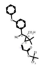 CC[C@](C)(OC(=O)/C=C\[C@H]1C(C)(C)[C@]1(C(=O)O)[C@@H](C#N)c1cccc(Oc2ccccc2)c1)C(F)(F)F